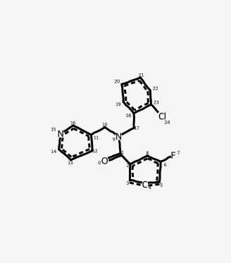 O=C(c1cccc(F)c1)N(Cc1cccnc1)Cc1ccccc1Cl